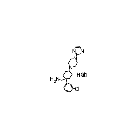 Cl.Cl.NC[C@]1(c2cccc(Cl)c2)CC[C@@H](N2CCN(c3cnccn3)CC2)CC1